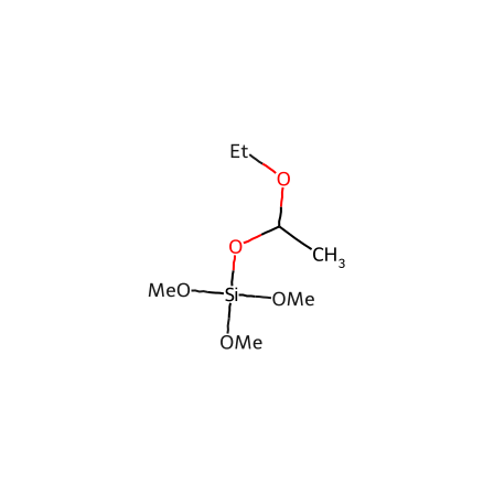 CCOC(C)O[Si](OC)(OC)OC